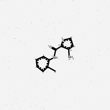 Cc1ccccc1NC(=O)c1sccc1N